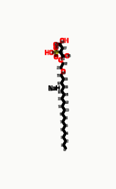 CCCCCCCCCCCCCCCCCCCCOCCOC(=O)C(CC(=O)O)S(=O)(=O)O.[NaH]